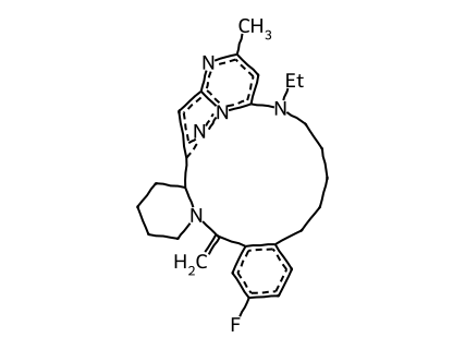 C=C1c2cc(F)ccc2CCCCCN(CC)c2cc(C)nc3cc(nn23)C2CCCCN12